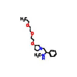 CCOCCOCCO[C@H]1CCN(CC(NC)c2ccccc2)C1